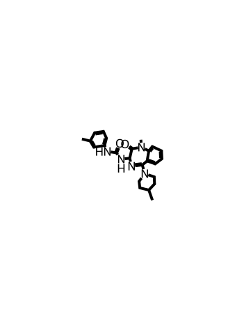 Cc1cccc(NC(=O)NC2N=C(N3CCC(C)CC3)c3ccccc3N(C)C2=O)c1